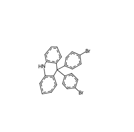 Brc1ccc(C2(c3ccc(Br)cc3)c3ccccc3Nc3ccccc32)cc1